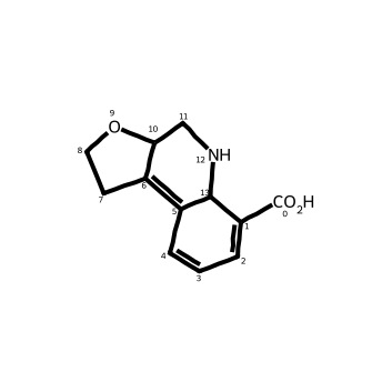 O=C(O)C1=CC=CC2=C3CCOC3CNC12